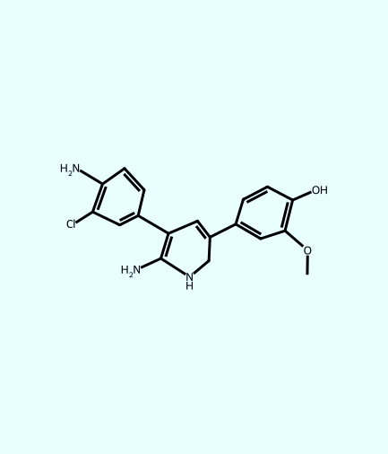 COc1cc(C2=CC(c3ccc(N)c(Cl)c3)=C(N)NC2)ccc1O